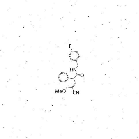 COC/C(C#N)=C\C(C(=O)NCc1ccc(F)cc1)c1ccccc1